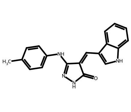 Cc1ccc(NC2=NNC(=O)/C2=C\c2c[nH]c3ccccc23)cc1